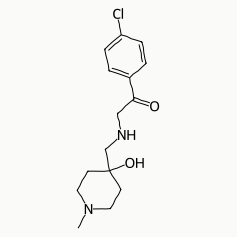 CN1CCC(O)(CNCC(=O)c2ccc(Cl)cc2)CC1